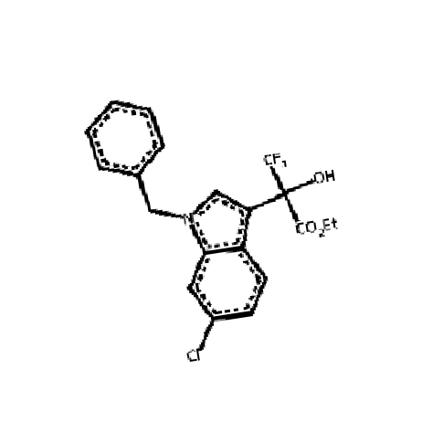 CCOC(=O)C(O)(c1cn(Cc2ccccc2)c2cc(Cl)ccc12)C(F)(F)F